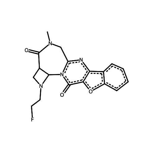 CN1Cc2nc3c(oc4ccccc43)c(=O)n2C2C(CN2CCF)C1=O